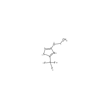 CCOc1[c]sc(C(F)(F)F)n1